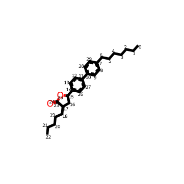 CCCCCCCc1ccc(-c2ccc(C3CC(CCCCC)C(=O)O3)cc2)cc1